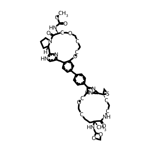 COC(=O)N[C@H]1COCCCCOc2cc(-c3ccc(-c4nc5[nH]c4COCCCC[C@@](C)(NC4OCO4)C(=O)NCCC[C@@]54CS4)cc3)ccc2-c2c[nH]c(n2)[C@@H]2CCCN2C1=O